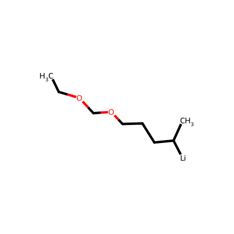 [Li][CH](C)CCCOCOCC